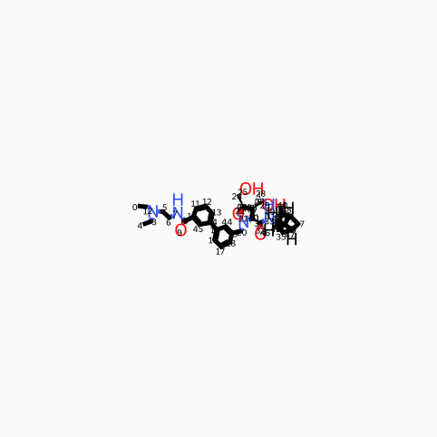 CCN(CC)CCNC(=O)c1cccc(-c2cccc(CN3O[C@@H](CO)[C@@H]([C@H](C)O)[C@H]3C(=O)N[C@H]3C[C@H]4C[C@@H]([C@@H]3C)C4(C)C)c2)c1